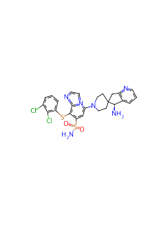 N[C@@H]1c2cccnc2CC12CCN(c1cc(S(N)(=O)=O)c(Sc3cccc(Cl)c3Cl)c3nccn13)CC2